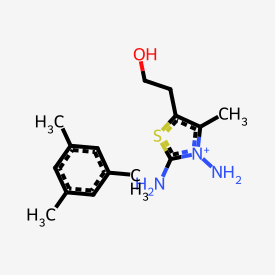 Cc1c(CCO)sc(N)[n+]1N.Cc1cc(C)cc(C)c1